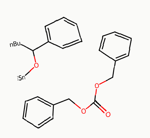 CCCCC([O][Sn])c1ccccc1.O=C(OCc1ccccc1)OCc1ccccc1